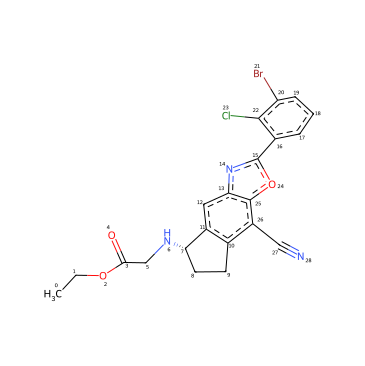 CCOC(=O)CN[C@H]1CCc2c1cc1nc(-c3cccc(Br)c3Cl)oc1c2C#N